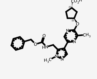 Cc1nc(-c2cnn(C)c2CNC(=O)OCc2ccccc2)cnc1O[C@H]1CC[C@H](C(=O)O)C1